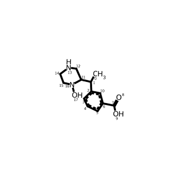 CC(c1cccc(C(=O)O)c1)C1CNCCN1O